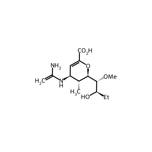 C=C(N)N[C@H]1C=C(C(=O)O)O[C@@H]([C@H](OC)[C@H](O)CC)[C@@H]1C